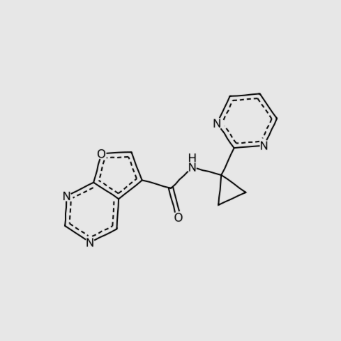 O=C(NC1(c2ncccn2)CC1)c1coc2ncncc12